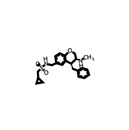 CN[C@@H]1COc2ccc(CNS(=O)(=O)CC3CC3)cc2[C@@H]1Cc1ccccc1